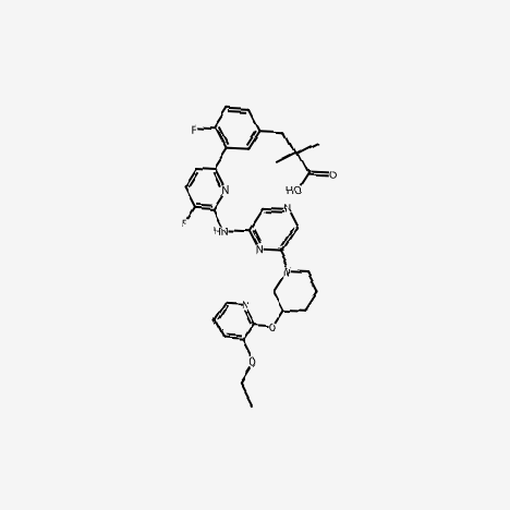 CCOc1cccnc1OC1CCCN(c2cncc(Nc3nc(-c4cc(CC(C)(C)C(=O)O)ccc4F)ccc3F)n2)C1